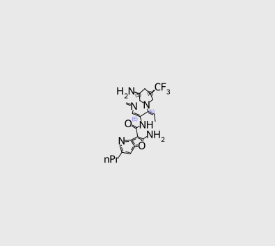 C=N/C=C(NC(=O)c1c(N)oc2cc(CCC)cnc12)\C(=C/C)N1C[C@@H](N)C[C@@H](C(F)(F)F)C1